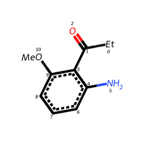 CCC(=O)c1c(N)cccc1OC